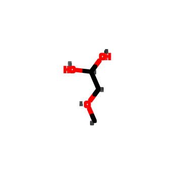 COC[C](O)O